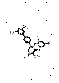 N#Cc1c(C(F)(F)F)cc(-c2ccc(-c3cc(C(F)(F)F)cc(C(F)(F)F)c3)cc2)n(Cc2ccc(F)cc2F)c1=O